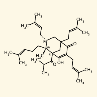 CC(C)=CCC[C@]1(C)[C@H](CC=C(C)C)CC2(CC=C(C)C)C[C@]1(C(=O)C(C)C)C(O)=C(CC=C(C)C)C2=O